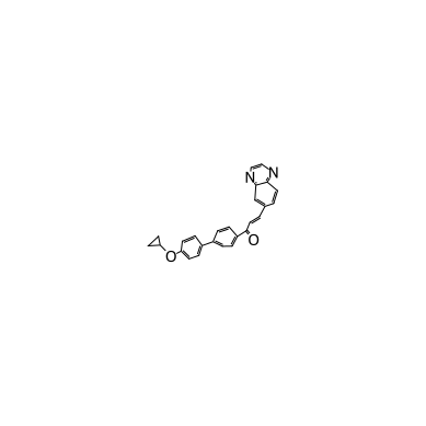 O=C(C=Cc1ccc2nccnc2c1)c1ccc(-c2ccc(OC3CC3)cc2)cc1